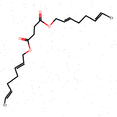 CCC=CCCC=CCOC(=O)CCC(=O)OCC=CCCC=CCC